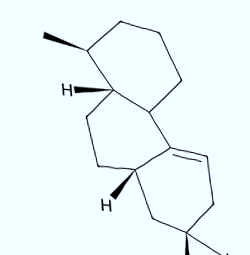 C[C@H]1CCCC2C3=CC[C@](C)(I)C[C@@H]3CC[C@@H]21